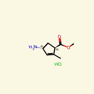 COC(=O)[C@@H]1C[C@@H](N)C=C1C.Cl